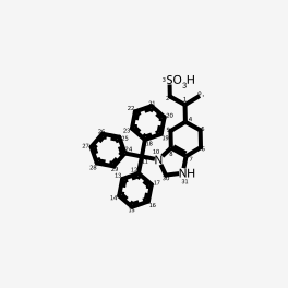 [CH2]C(CS(=O)(=O)O)C1CCC2=C(C1)N(C(c1ccccc1)(c1ccccc1)c1ccccc1)CN2